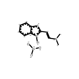 CC[n+]1c(/C=C/N(C)C)sc2ccccc21.[Cl][Zn-]([Cl])[Cl]